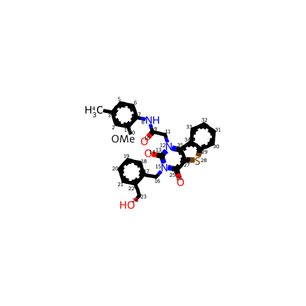 COc1cc(C)ccc1NC(=O)Cn1c(=O)n(Cc2ccccc2CO)c(=O)c2sc3ccccc3c21